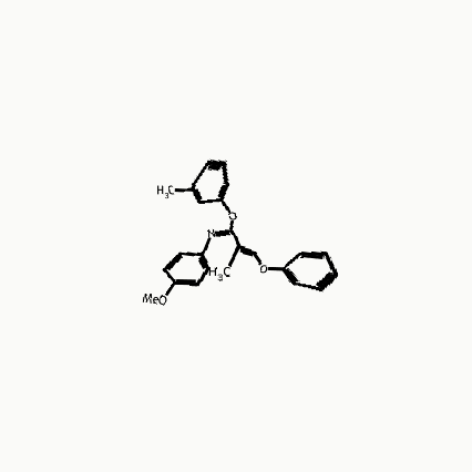 COc1ccc(/N=C(Oc2cccc(C)c2)\C(C)=C\Oc2ccccc2)cc1